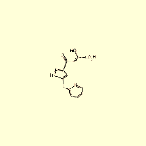 O=C(O)C(O)=CC(=O)c1c[nH]c(Cc2ccccn2)c1